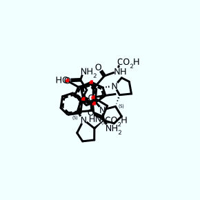 CC1(CC(N)=O)c2ccc(cc2)[C@]1(C(=O)NC(=O)O)N1CCCC1[C@@H]1CC[C@@H](C2CCCN2[C@@]2(C(=O)NC(=O)O)c3ccc(cc3)C2(C)CC(N)=O)N1c1ccc(O)cc1